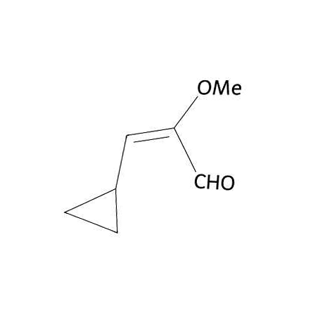 COC(C=O)=CC1CC1